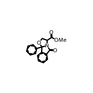 COC(=O)C1COC2(c3ccccc3)c3ccccc3C(=O)N12